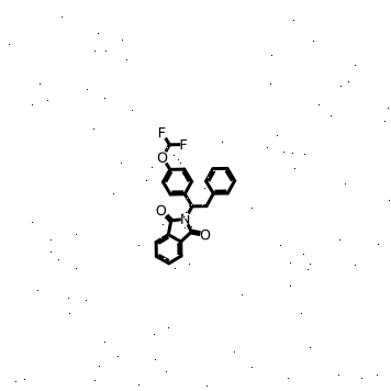 O=C1c2ccccc2C(=O)N1C(Cc1ccccc1)c1ccc(OC(F)F)cc1